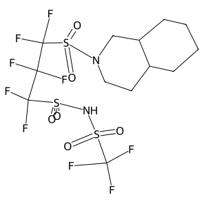 O=S(=O)(NS(=O)(=O)C(F)(F)C(F)(F)C(F)(F)S(=O)(=O)N1CCC2CCCCC2C1)C(F)(F)F